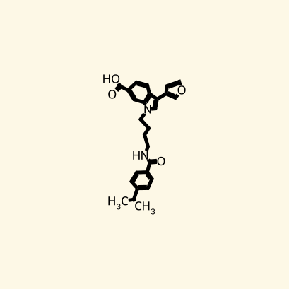 CC(C)c1ccc(C(=O)NCCCCn2cc(-c3ccoc3)c3ccc(C(=O)O)cc32)cc1